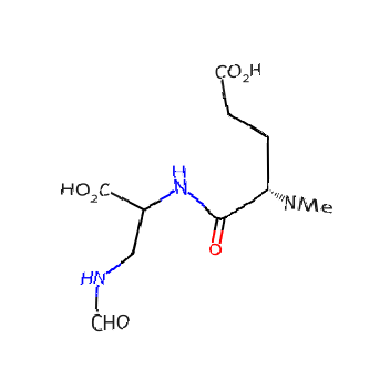 CN[C@@H](CCC(=O)O)C(=O)NC(CNC=O)C(=O)O